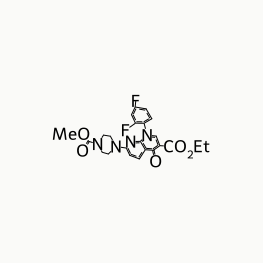 CCOC(=O)c1cn(-c2ccc(F)cc2F)c2nc(N3CCN(C(=O)OC)CC3)ccc2c1=O